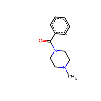 CN1CCN(C(=O)c2[c]cccc2)CC1